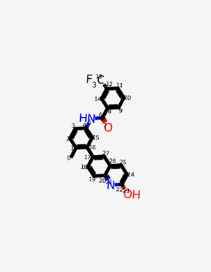 Cc1ccc(NC(=O)c2cccc(C(F)(F)F)c2)cc1-c1ccc2nc(O)ccc2c1